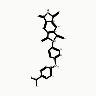 C=c1[nH]c(=C)c2cc3c(=C)n(-c4ccc(Oc5ccc(C(C)C)cc5)cc4)c(=C)c3cc12